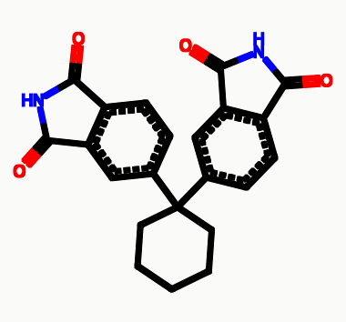 O=C1NC(=O)c2cc(C3(c4ccc5c(c4)C(=O)NC5=O)CCCCC3)ccc21